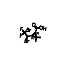 CC1(C)[C@H](C(=O)O)[C@@H]1C(Br)C(F)(F)Br